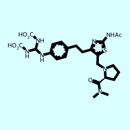 CC(=O)Nc1nc(CCc2ccc(NC(NC(=O)O)NC(=O)O)cc2)c(CN2CCC[C@H]2C(=O)N(C)C)s1